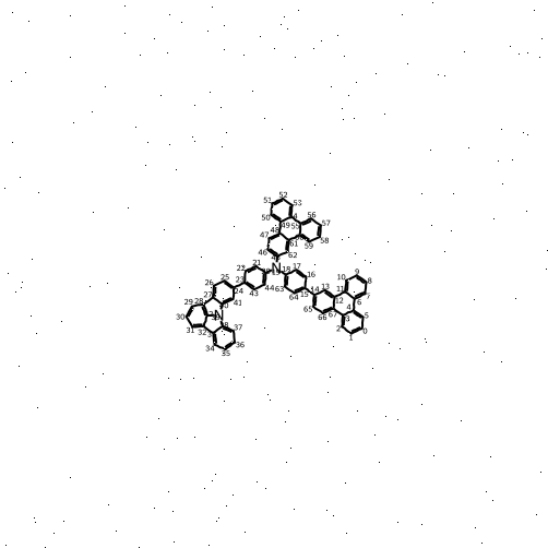 c1ccc2c(c1)c1ccccc1c1cc(-c3ccc(N(c4ccc(-c5ccc6c7cccc8c9ccccc9n(c6c5)c87)cc4)c4ccc5c6ccccc6c6ccccc6c5c4)cc3)ccc21